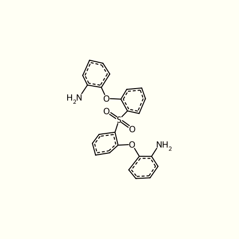 Nc1ccccc1Oc1ccccc1S(=O)(=O)c1ccccc1Oc1ccccc1N